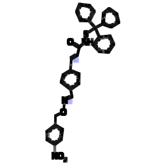 O=C(/C=C/c1ccc(/C=N/OCc2ccc([N+](=O)[O-])cc2)cc1)NSC(c1ccccc1)(c1ccccc1)c1ccccc1